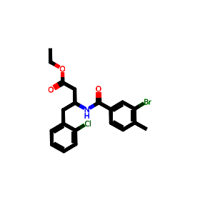 CCOC(=O)CC(Cc1ccccc1Cl)NC(=O)c1ccc(C)c(Br)c1